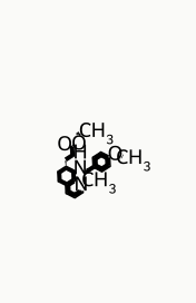 CCOC(=O)CC[C@H]1CCc2cccnc2[C@H]1N[C@@H](C)c1ccc(OC)cc1